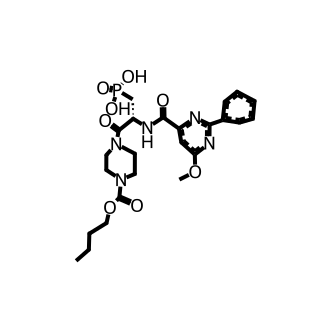 CCCCOC(=O)N1CCN(C(=O)[C@H](CP(=O)(O)O)NC(=O)c2cc(OC)nc(-c3ccccc3)n2)CC1